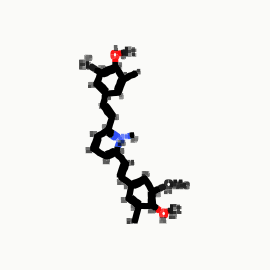 CCOc1c(C)cc(/C=C/c2cccc(/C=C/c3cc(C)c(OCC)c(OC)c3)[n+]2C)cc1CC